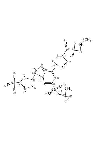 CN1CC(F)(C(=O)N2CCN(c3cc(S(=O)(=O)NC4(C)CC4)cn4c(-c5nnc(C(F)(F)F)s5)ncc34)CC2)C1